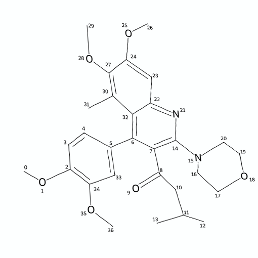 COc1ccc(-c2c(C(=O)CC(C)C)c(N3CCOCC3)nc3cc(OC)c(OC)c(C)c23)cc1OC